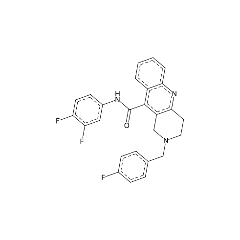 O=C(Nc1ccc(F)c(F)c1)c1c2c(nc3ccccc13)CCN(Cc1ccc(F)cc1)C2